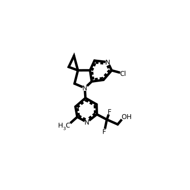 Cc1cc(N2CC3(CC3)c3cnc(Cl)cc32)cc(C(F)(F)CO)n1